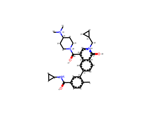 Cc1ccc(C(=O)NC2CC2)cc1-c1ccc2c(=O)n(CC3CC3)cc(C(=O)N3CCC(N(C)C)CC3)c2c1